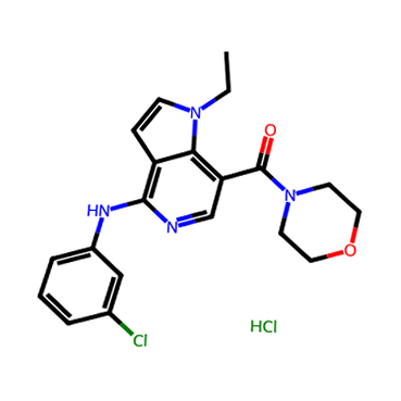 CCn1ccc2c(Nc3cccc(Cl)c3)ncc(C(=O)N3CCOCC3)c21.Cl